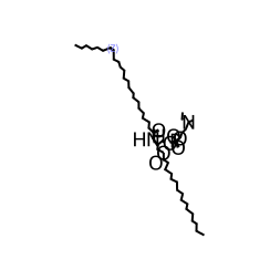 CCCCCC/C=C\CCCCCCCCCCCCCCCC(=O)NC(COC(=O)CCCCCCCCCCCCCCC)COP(=O)(O)OCCN(C)CC